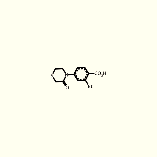 CCc1cc(N2CCSCC2=O)ccc1C(=O)O